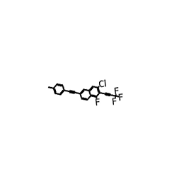 Cc1ccc(C#Cc2ccc3c(F)c(C#CC(F)(F)F)c(Cl)cc3c2)cc1